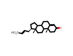 C[C@]12CCC(=O)C=C1CCC1C2CC[C@@]2(C)C1CC[C@@H]2C/C=C/C(=O)O